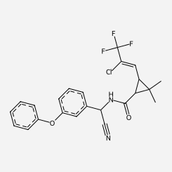 CC1(C)C(C=C(Cl)C(F)(F)F)C1C(=O)NC(C#N)c1cccc(Oc2ccccc2)c1